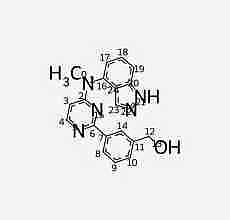 CN(c1ccnc(-c2cccc(CO)c2)n1)c1cccc2[nH]ncc12